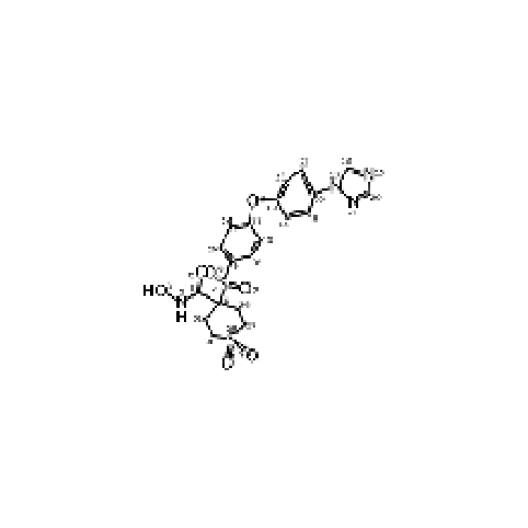 O=C(NO)C1(S(=O)(=O)c2ccc(Oc3ccc(-n4cncn4)cc3)cc2)CCS(=O)(=O)CC1